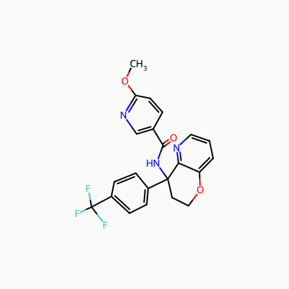 COc1ccc(C(=O)NC2(c3ccc(C(F)(F)F)cc3)CCOc3cccnc32)cn1